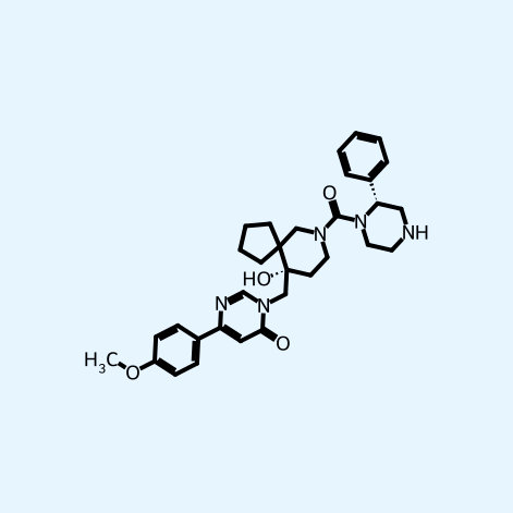 COc1ccc(-c2cc(=O)n(C[C@]3(O)CCN(C(=O)N4CCNC[C@H]4c4ccccc4)CC34CCCC4)cn2)cc1